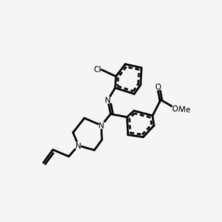 C=CCN1CCN(C(=Nc2ccccc2Cl)c2cccc(C(=O)OC)c2)CC1